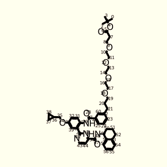 CC(C)(C)OC(=O)CCOCCOCCOCCOCCCc1cccc(C(=O)Nc2ccc(OCC3CC3)cc2-c2nccc(C(=O)N[C@H]3CCCc4ccccc43)n2)c1